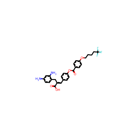 Nc1ccc(C/C(=C\c2ccc(OC(=O)c3ccc(OCCCCC(F)(F)F)cc3)cc2)C(=O)O)c(N)c1